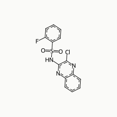 O=S(=O)(Nc1nc2ccccc2nc1Cl)c1ccccc1F